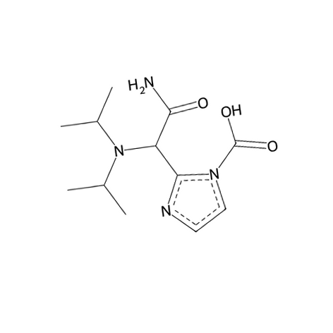 CC(C)N(C(C)C)C(C(N)=O)c1nccn1C(=O)O